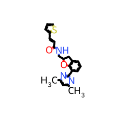 Cc1cc(C)nc(-c2cccc3c2OC(CNC(=O)/C=C/c2cccs2)C3)n1